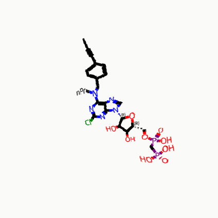 CC#Cc1ccc(CN(CCC)c2nc(Cl)nc3c2ncn3[C@@H]2O[C@H](COP(=O)(O)CP(=O)(O)O)C(O)C2O)cc1